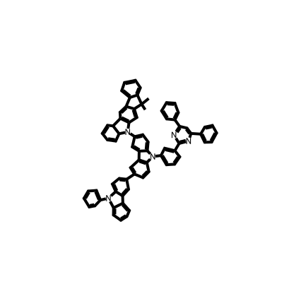 CC1(C)c2ccccc2-c2cc3c(cc21)N(c1ccc2c(c1)c1cc(-c4ccc5c(c4)c4ccccc4n5-c4ccccc4)ccc1n2-c1cccc(-c2nc(-c4ccccc4)cc(-c4ccccc4)n2)c1)C1C=CC=CC31